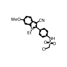 CCn1c(-c2ccc(NS(=O)(=O)CCl)cc2)c(C#N)c2ccc(OC)cc21